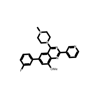 COc1cc(-c2cccc(F)c2)cc2c(N3CCN(C)CC3)nc(-c3cccnc3)nc12